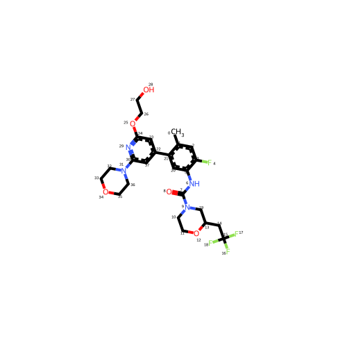 Cc1cc(F)c(NC(=O)N2CCOC(CC(F)(F)F)C2)cc1-c1cc(OCCO)nc(N2CCOCC2)c1